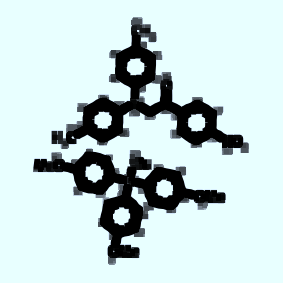 COc1ccc([B-](c2ccc(OC)cc2)(c2ccc(OC)cc2)C(C)(C)C)cc1.Cc1ccc([S+](CC(=O)c2ccc([N+](=O)[O-])cc2)c2ccc(C)cc2)cc1